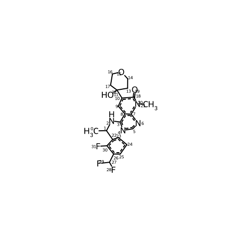 CC(Nc1ncnc2c1cc(C1(O)CCOCC1)c(=O)n2C)c1cccc(C(F)F)c1F